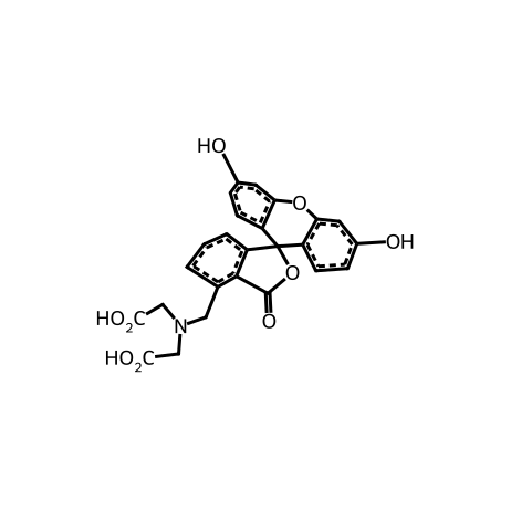 O=C(O)CN(CC(=O)O)Cc1cccc2c1C(=O)OC21c2ccc(O)cc2Oc2cc(O)ccc21